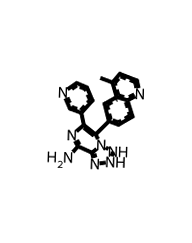 Cc1ccnc2ccc(C3=C(c4cccnc4)N=C(N)C4=NNNN43)cc12